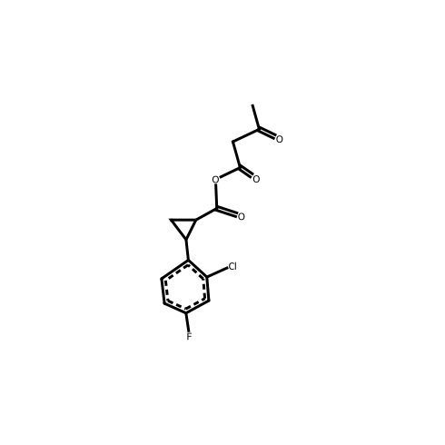 CC(=O)CC(=O)OC(=O)C1CC1c1ccc(F)cc1Cl